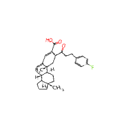 C[C@@]12CCC[C@H]1[C@@H]1CC=C3C=C(C(=O)O)C(C(=O)CCc4ccc(F)cc4)C[C@]3(C)[C@H]1CC2